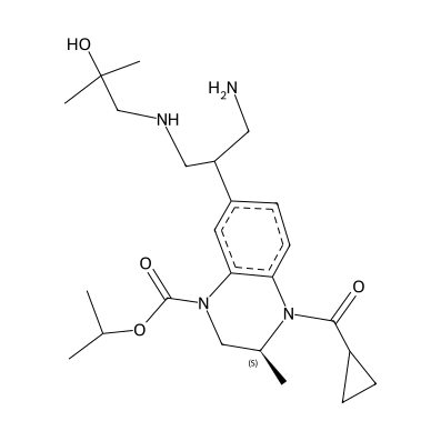 CC(C)OC(=O)N1C[C@H](C)N(C(=O)C2CC2)c2ccc(C(CN)CNCC(C)(C)O)cc21